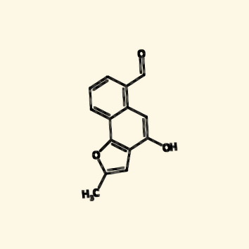 Cc1cc2c(O)cc3c(C=O)cccc3c2o1